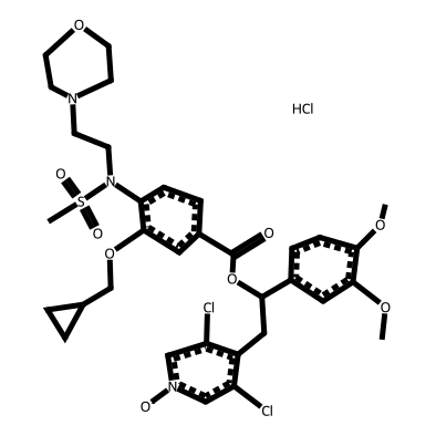 COc1ccc(C(Cc2c(Cl)c[n+]([O-])cc2Cl)OC(=O)c2ccc(N(CCN3CCOCC3)S(C)(=O)=O)c(OCC3CC3)c2)cc1OC.Cl